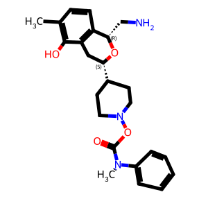 Cc1ccc2c(c1O)C[C@@H](C1CCN(OC(=O)N(C)c3ccccc3)CC1)O[C@H]2CN